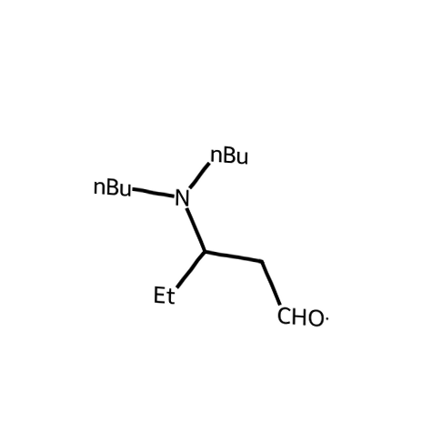 CCCCN(CCCC)C(CC)C[C]=O